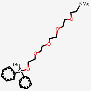 CNCCOCCOCCOCCOCCO[Si](c1ccccc1)(c1ccccc1)C(C)(C)C